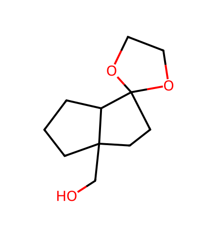 OCC12CCCC1C1(CC2)OCCO1